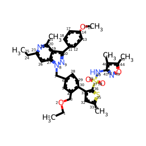 CCOCc1cc(Cn2nc(-c3ccc(OC)cc3)c3c(C)nc(CC)cc32)ccc1-c1cc(C)sc1S(=O)(=O)Nc1noc(C)c1C